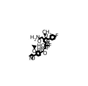 CCOc1c(CC(N)=O)cc([C@@](O)(CNC(=O)c2ccc(-c3ccno3)c(OC3CC3)c2)C(F)(F)F)nc1-c1ccc(F)cc1